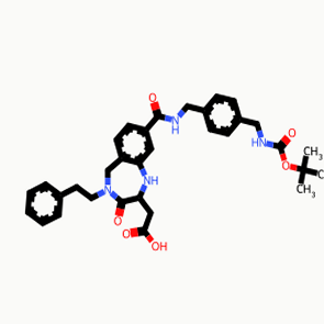 CC(C)(C)OC(=O)NCc1ccc(CNC(=O)c2ccc3c(c2)NC(CC(=O)O)C(=O)N(CCc2ccccc2)C3)cc1